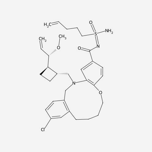 C=CCCCS(N)(=O)=NC(=O)c1ccc2c(c1)N(C[C@@H]1CC[C@H]1[C@H](C=C)OC)Cc1ccc(Cl)cc1CCCCO2